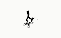 C#CC1CS(=O)(=O)OC1C(F)(F)F